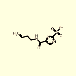 C=CCCNC(=O)c1cnc(S(=O)(=O)CC)s1